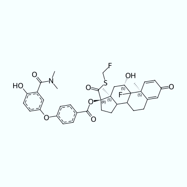 CN(C)C(=O)c1cc(Oc2ccc(C(=O)O[C@]3(C(=O)SCF)CCC4C5CCC6=CC(=O)C=C[C@]6(C)C5(F)[C@@H](O)C[C@@]43C)cc2)ccc1O